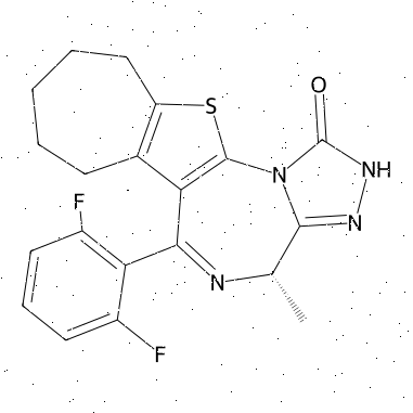 C[C@@H]1N=C(c2c(F)cccc2F)c2c(sc3c2CCCCC3)-n2c1n[nH]c2=O